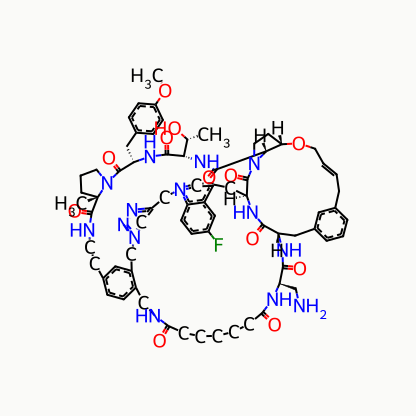 COc1ccc(C[C@@H]2NC(=O)[C@H]([C@@H](C)O)NC(=O)[C@@H]3[C@@H]4CCN3C(=O)[C@@H]3Cc5cn(c6ccc(F)cc56)Cc5cn(nn5)Cc5cc(ccc5CNC(=O)CCCCCC(=O)N[C@H](CN)C(=O)N[C@@H](Cc5cccc(c5)C/C=C/CO4)C(=O)N3)CCNC(=O)[C@]3(C)CCCN3C2=O)cc1